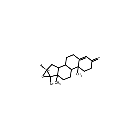 CC(=O)C12O[C@@H]1CC1C3CCC4=CC(=O)CCC4(C)C3CCC12C